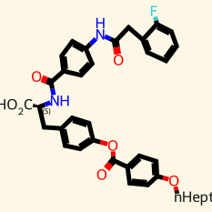 CCCCCCCOc1ccc(C(=O)Oc2ccc(C[C@H](NC(=O)c3ccc(NC(=O)Cc4ccccc4F)cc3)C(=O)O)cc2)cc1